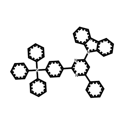 c1ccc(-c2cc(-n3c4ccccc4c4ccccc43)nc(-c3ccc(S(c4ccccc4)(c4ccccc4)c4ccccc4)cc3)n2)cc1